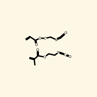 C=C(C)C(=O)OCCN=C=O.C=CC(=O)OCCN=C=O